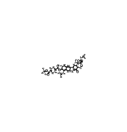 CC[C@@]1(OC(=O)CN(C)C)C(=O)OCc2c1cc1n(c2=O)Cc2cc3c(CN(C)C)c(OC(=O)N4CCN(C(=O)OC(C)(C)C)CC4)ccc3nc2-1